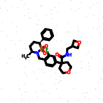 C[C@H]1CC[C@H](c2ccccc2)S(=O)(=O)N1Cc1ccc(C2(C(=O)NCC3COC3)CCOCC2)cc1F